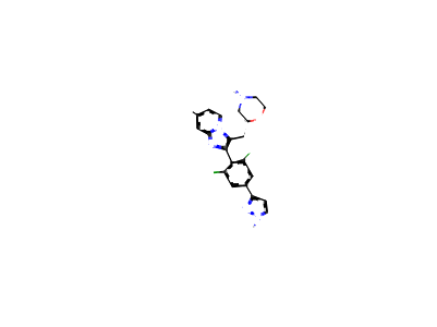 Cc1ccn2c(C[C@H]3CN(C(=O)O)CCO3)c(-c3c(F)cc(-c4ccn(C)n4)cc3F)nc2c1